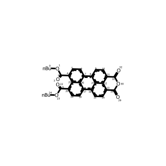 CCCCOC(=O)c1ccc2c3ccc4c5c(ccc(c6ccc(C(=O)OCCCC)c1c26)c53)C(=O)OC4=O